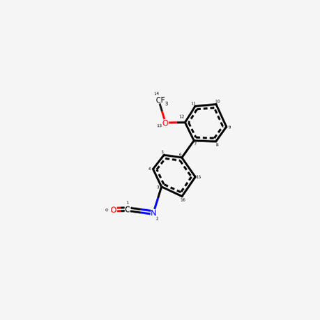 O=C=Nc1ccc(-c2ccccc2OC(F)(F)F)cc1